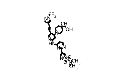 CN(C)S(=O)(=O)n1cc(-c2nccc(Nc3cc(N4CCC(C)(CO)CC4)c(C#Cc4cnn(C(F)(F)F)c4)cn3)n2)cn1